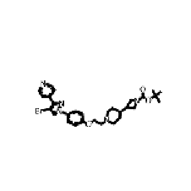 CC(C)(C)OC(=O)N1CC(C2CCN(CCOc3ccc(-n4cc(Br)c(-c5ccncc5)n4)cc3)CC2)C1